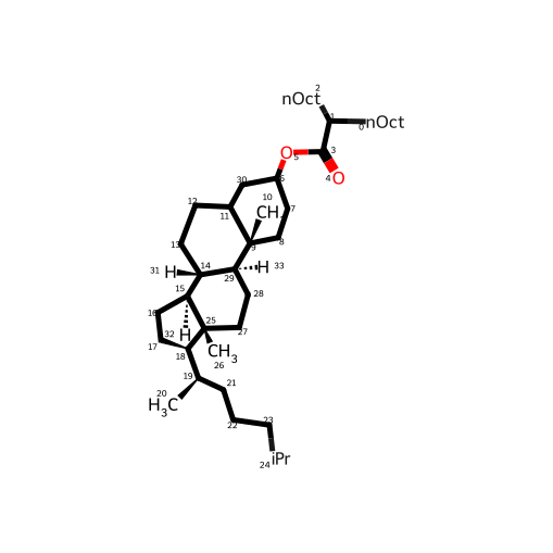 CCCCCCCCC(CCCCCCCC)C(=O)OC1CC[C@@]2(C)C(CC[C@H]3[C@@H]4CC[C@H]([C@H](C)CCCC(C)C)[C@@]4(C)CC[C@@H]32)C1